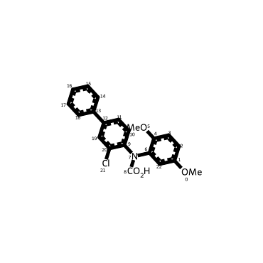 COc1ccc(OC)c(N(C(=O)O)c2ccc(-c3ccccc3)cc2Cl)c1